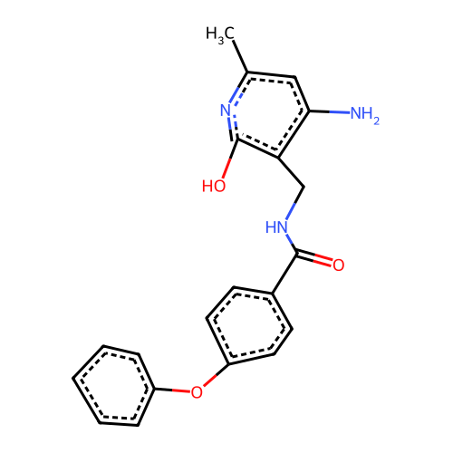 Cc1cc(N)c(CNC(=O)c2ccc(Oc3ccccc3)cc2)c(O)n1